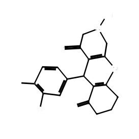 CN1CC(=O)C2=C(C1)NC1=C(C(=O)CCC1)C2c1ccc(F)c(Br)c1.Cl